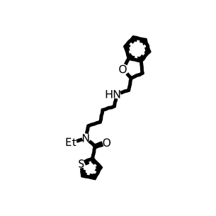 CCN(CCCCNCC1Cc2ccccc2O1)C(=O)c1cccs1